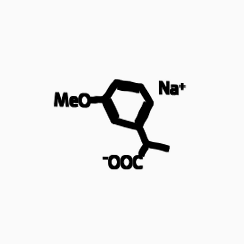 COc1cccc(C(C)C(=O)[O-])c1.[Na+]